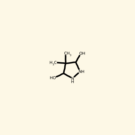 CC1(C)C(O)NNC1O